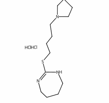 C1CCNC(SCCCCN2CCCC2)=NC1.Cl.Cl